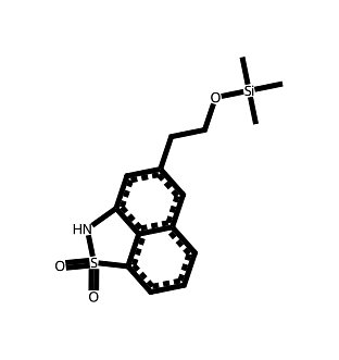 C[Si](C)(C)OCCc1cc2c3c(cccc3c1)S(=O)(=O)N2